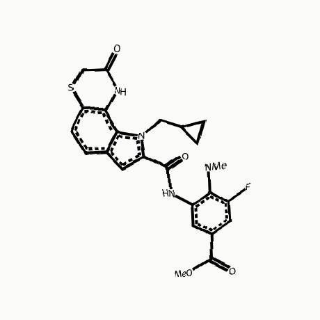 CNc1c(F)cc(C(=O)OC)cc1NC(=O)c1cc2ccc3c(c2n1CC1CC1)NC(=O)CS3